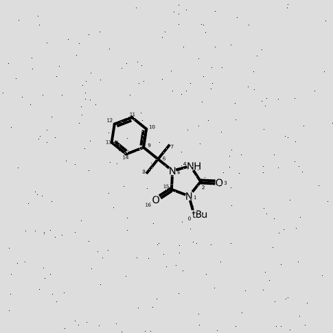 CC(C)(C)n1c(=O)[nH]n(C(C)(C)c2ccccc2)c1=O